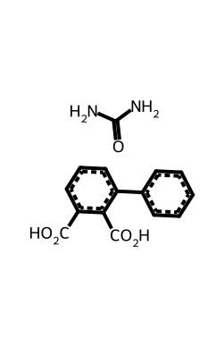 NC(N)=O.O=C(O)c1cccc(-c2ccccc2)c1C(=O)O